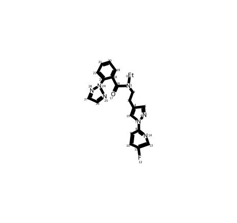 CCN(CCc1cnn(-c2ccc(F)cn2)c1)C(=O)c1ccccc1-n1nccn1